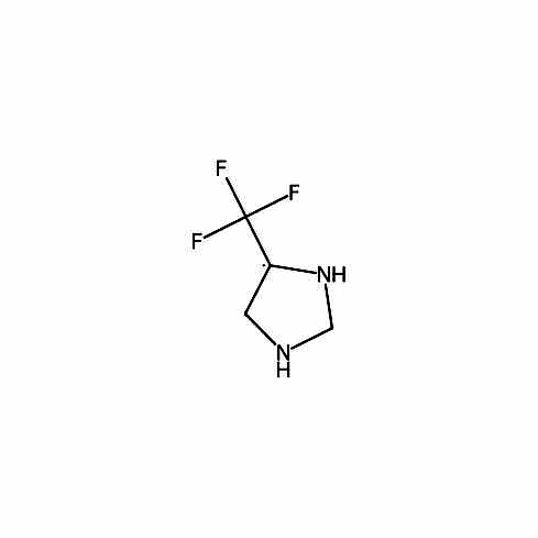 FC(F)(F)[C]1CNCN1